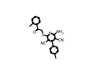 Cc1ccc(-c2c(C#N)c(N)nc(SCC(=O)c3ccccc3C)c2C#N)cc1